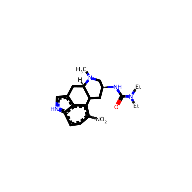 CCN(CC)C(=O)N[C@H]1CC2c3c([N+](=O)[O-])ccc4[nH]cc(c34)C[C@H]2N(C)C1